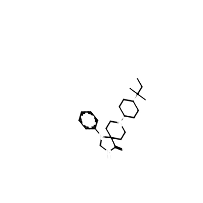 CCC(C)(C)[C@H]1CC[C@@H](N2CCC3(CC2)C(=O)NCN3c2ccccc2)CC1.Cl